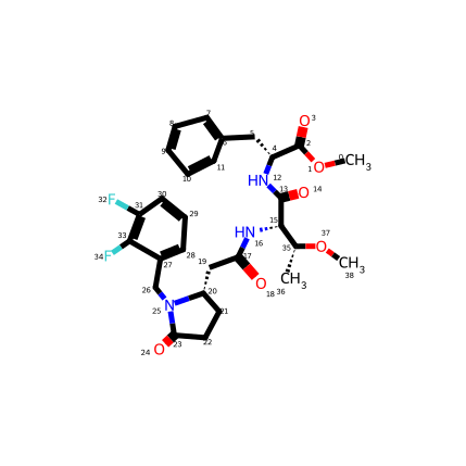 COC(=O)[C@@H](Cc1ccccc1)NC(=O)[C@@H](NC(=O)C[C@@H]1CCC(=O)N1Cc1cccc(F)c1F)[C@@H](C)OC